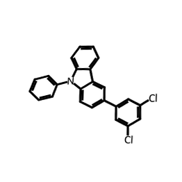 Clc1cc(Cl)cc(-c2ccc3c(c2)c2ccccc2n3-c2ccccc2)c1